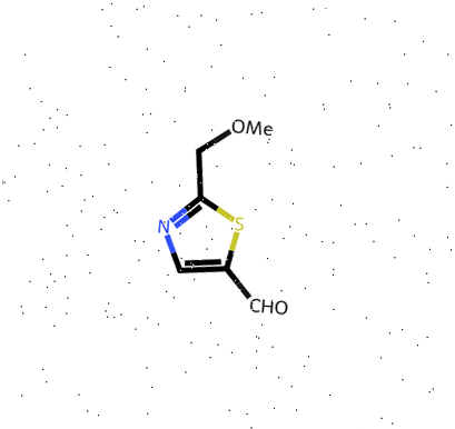 COCc1ncc(C=O)s1